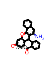 COC(=O)c1ccccc1-c1c2ccc(=O)cc-2oc2c1c(N)cc1ccccc12